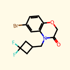 O=C1COc2ccc(Br)cc2N1CC1CC(F)(F)C1